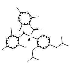 Cc1cc(C)c(C(=O)P(=O)(C(=O)c2c(C)cc(C)cc2C)c2ccc(CC(C)C)cc2CC(C)C)c(C)c1